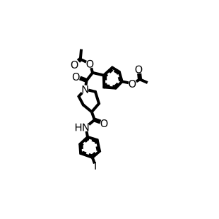 CC(=O)Oc1ccc(C(OC(C)=O)C(=O)N2CCC(C(=O)Nc3ccc(I)cc3)CC2)cc1